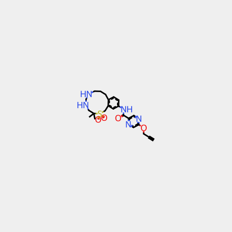 C#CCOc1cnc(C(=O)Nc2ccc3c(c2)CS(=O)(=O)C(C)(C)CNCNCCC3)cn1